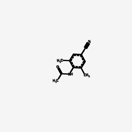 CC(=O)Nc1c(C)cc(C#N)cc1C